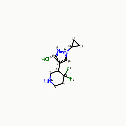 Cl.FC1(F)CCNCC1c1cnn(C2CC2)c1